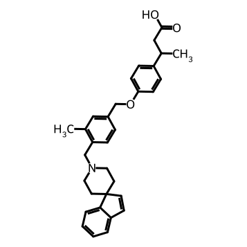 Cc1cc(COc2ccc(C(C)CC(=O)O)cc2)ccc1CN1CCC2(C=Cc3ccccc32)CC1